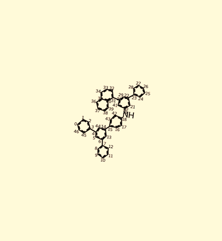 c1ccc(-c2cc(-c3ccccc3)cc(-c3ccc(Nc4cc(-c5ccccc5)cc(-c5cccc6ccccc56)c4)cc3)c2)cc1